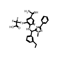 CCc1cccc(C(Nc2c(F)cc(C(=N)N)cc2F)c2nc(-c3ccccc3)nn2C)c1.O=C(O)C(F)(F)F